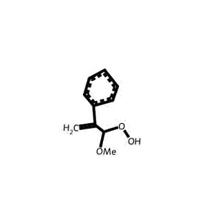 C=C(c1ccccc1)C(OC)OO